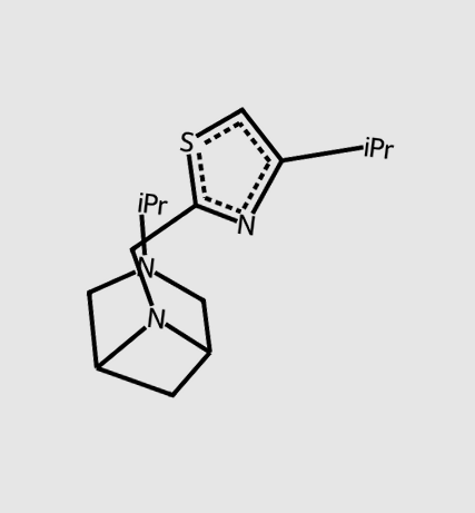 CC(C)c1csc(CN2C3CC2CN(C(C)C)C3)n1